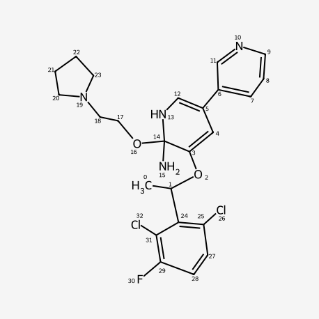 CC(OC1=CC(c2cccnc2)=CNC1(N)OCCN1CCCC1)c1c(Cl)ccc(F)c1Cl